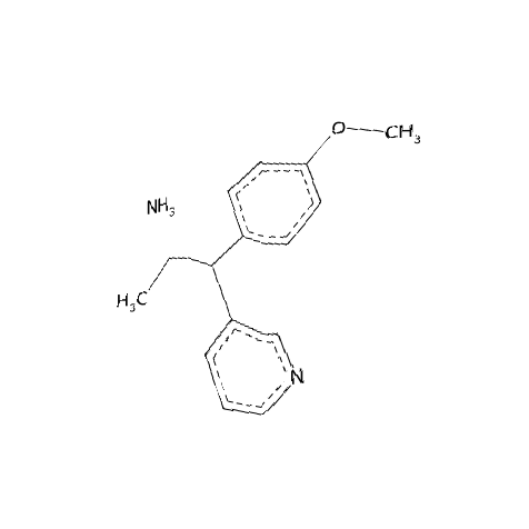 CCC(c1ccc(OC)cc1)c1cccnc1.N